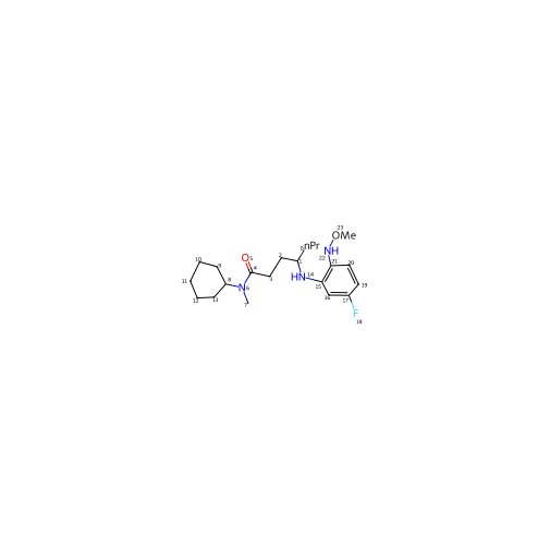 CCCC(CCC(=O)N(C)C1CCCCC1)Nc1cc(F)ccc1NOC